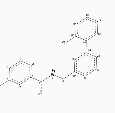 COc1cccc([C@@H](C)NCc2cccc(-c3ccccc3C)c2)c1